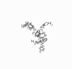 CCOCCCn1c(CCc2ccc(C(=N)N)cc2)nc2cc(C(=O)N(CCN)CCCc3ccccc3)ccc21